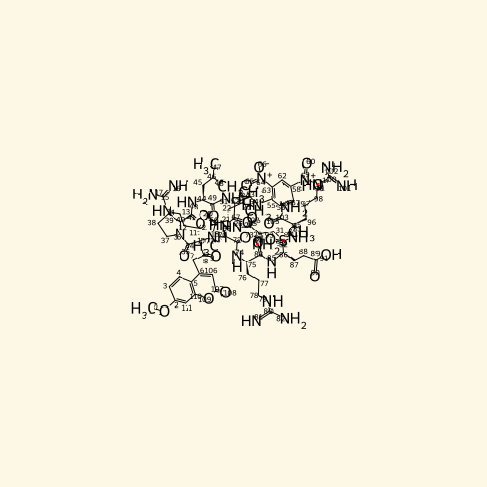 COc1ccc2c(CC(=O)[C@](CCCNC(=N)N)(NC(=O)[C@H](CC(C)C)NC(=O)[C@@H](N)CSC)C(=O)N3CCC[C@H]3C(=O)N[C@@H](CC(C)C)C(=O)N[C@@H](CNc3ccc([N+](=O)[O-])cc3[N+](=O)[O-])C(=O)N[C@@H](C)C(=O)N[C@H](CCCNC(=N)N)C(=O)N[C@H](CCC(=O)O)C(=O)N[C@H](CCCNC(=N)N)C(N)=O)cc(=O)oc2c1